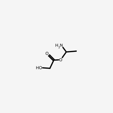 CC(N)OC(=O)CO